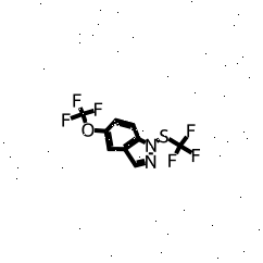 FC(F)(F)Oc1ccc2c(cnn2SC(F)(F)F)c1